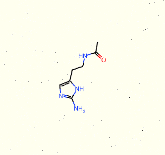 CC(=O)NCCc1cnc(N)[nH]1